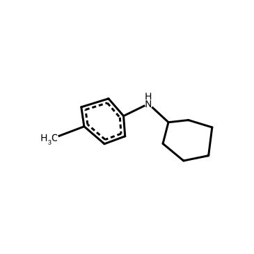 Cc1ccc(NC2CCCCC2)cc1